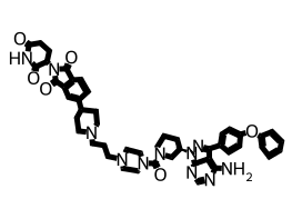 Nc1ncnc2c1c(-c1ccc(Oc3ccccc3)cc1)nn2[C@@H]1CCCN(C(=O)N2CCN(CCCN3CCC(c4ccc5c(c4)C(=O)N(C4CCC(=O)NC4=O)C5=O)CC3)CC2)C1